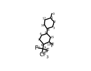 CC1CCC(C2CCC(C(F)(F)C(F)(F)F)C(F)C2)CC1